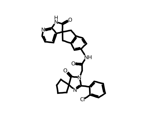 O=C(CN1C(=O)C2(CCCC2)N=C1c1ccccc1Cl)Nc1ccc2c(c1)CC1(C2)C(=O)Nc2ncccc21